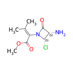 COC(=O)C(=C(C)C)N1C(=O)[C@H](N)[C@@H]1Cl